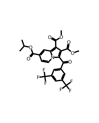 COC(=O)c1c(C(=O)OC)c2cc(C(=O)OC(C)C)ccn2c1C(=O)c1cc(C(F)(F)F)cc(C(F)(F)F)c1